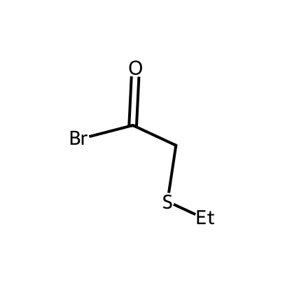 [CH2]CSCC(=O)Br